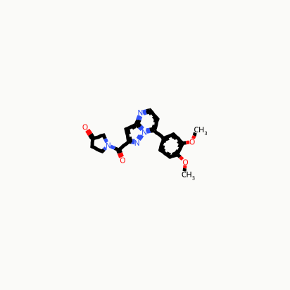 COc1ccc(-c2ccnc3cc(C(=O)N4CCC(=O)C4)nn23)cc1OC